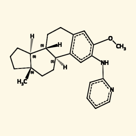 COc1cc2c(cc1Nc1ccccn1)[C@H]1CC[C@]3(C)CCC[C@H]3[C@@H]1CC2